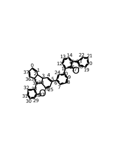 C1=CC2C3C=C(c4cccc(-c5cccc6c5oc5ccccc56)c4)C=C4Oc5ccccc5C(C2C=C1)C43